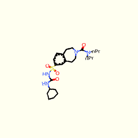 CCCN(CCC)C(=O)N1CCc2ccc(S(=O)(=O)NC(=O)NC3CCCCC3)cc2CC1